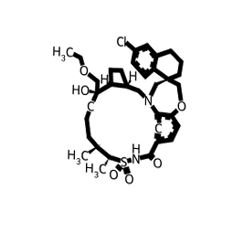 CCOC[C@@]1(O)CCC[C@H](C)[C@@H](C)S(=O)(=O)NC(=O)c2ccc3c(c2)N(C[C@@H]2CC[C@H]21)C[C@@]1(CCCc2cc(Cl)ccc21)CO3